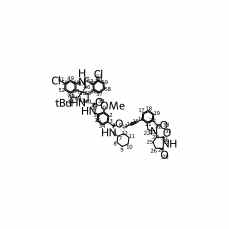 COc1cc(C(=O)N[C@@H]2CCCC[C@H]2CC#Cc2cccc3c2CN(C2CCC(=O)NC2=O)C3=O)ccc1NC(=O)[C@@H]1N[C@@H](CC(C)(C)C)[C@@]2(CNc3cc(Cl)ccc32)[C@H]1c1cccc(Cl)c1F